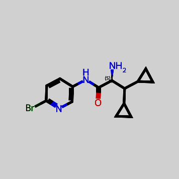 N[C@H](C(=O)Nc1ccc(Br)nc1)C(C1CC1)C1CC1